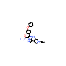 CC#CN1CCC(c2cnn3c(C(N)=O)c(-c4ccc(Oc5ccccc5)cc4)[nH]c23)CC1